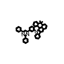 CC1(C)c2ccccc2-c2c3c1cccc3cc1c3ccccc3n(-c3cccc(-c4cc(-c5ccccc5)nc(-c5ccccc5)n4)c3)c21